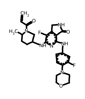 C=CC(=O)N1CC(Nc2nc(Nc3ccc(N4CCOCC4)c(F)c3)c3c(c2F)CNC3=O)CCC1C